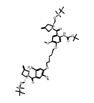 C=C1C[C@@H](CO[Si](C)(C)C(C)(C)C)N(C(=O)c2cc(OC)c(OCCCCCOc3cc(NC(=O)OC(C)(C)C)c(C(=O)N4CC(=C)C[C@H]4CO[Si](C)(C)C(C)(C)C)cc3OC)cc2N)C1